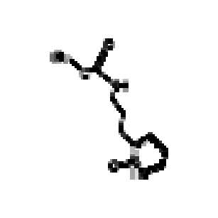 CC(C)(C)OC(=O)NCCCc1ccc[nH]c1=O